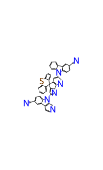 N#Cc1ccc2c(c1)c1ccccc1n2-c1cnc2c(c1)C1(c3ccccc3Sc3ccccc31)c1cc(-n3c4ccc(C#N)cc4c4ccncc43)cnc1-2